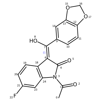 CC(=O)N1C(=O)/C(=C(/O)c2ccc3c(c2)OCO3)c2ccc(F)cc21